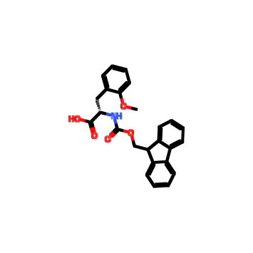 COc1ccccc1C[C@H](NC(=O)OCC1c2ccccc2-c2ccccc21)C(=O)O